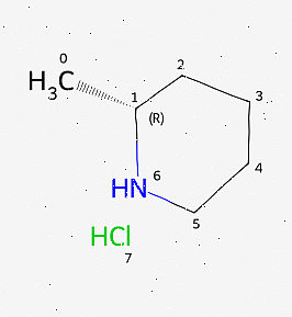 C[C@@H]1CCCCN1.Cl